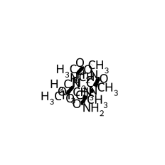 CC(C)(N=NC(C)(C)C(N)=O)C(N)=O.COC(=O)C(C)(C)N=NC(C)(C)C(=O)OC